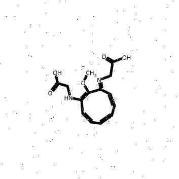 CO/C1=C(NCC(=O)O)/C=C\C=C/C=C\C1=N/CC(=O)O